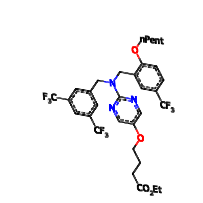 CCCCCOc1ccc(C(F)(F)F)cc1CN(Cc1cc(C(F)(F)F)cc(C(F)(F)F)c1)c1ncc(OCCCC(=O)OCC)cn1